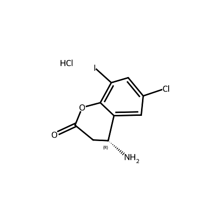 Cl.N[C@@H]1CC(=O)Oc2c(I)cc(Cl)cc21